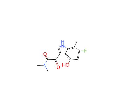 Cc1c(F)cc(O)c2c(C(=O)C(=O)N(C)C)c[nH]c12